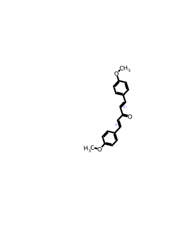 COc1ccc(/C=C/C(=O)/C=C/c2ccc(OC)cc2)cc1